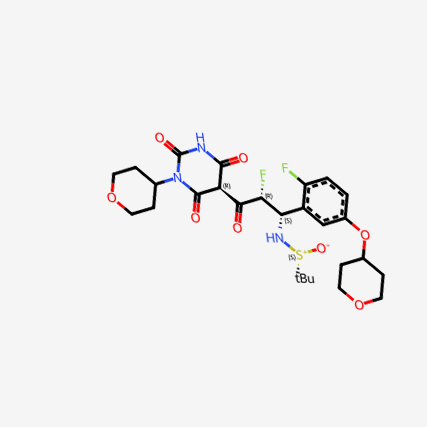 CC(C)(C)[S@@+]([O-])N[C@@H](c1cc(OC2CCOCC2)ccc1F)[C@@H](F)C(=O)[C@@H]1C(=O)NC(=O)N(C2CCOCC2)C1=O